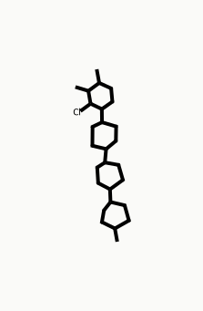 CC1CCC(C2CCC(C3CCC(C4CCC(C)C(C)C4Cl)CC3)CC2)CC1